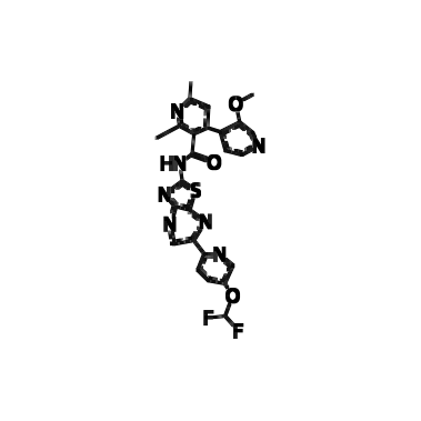 COc1cnccc1-c1cc(C)nc(C)c1C(=O)Nc1nc2ncc(-c3ccc(OC(F)F)cn3)nc2s1